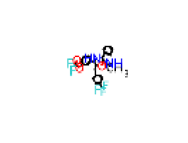 CNC(=O)C(NC(CCc1ccc(C(F)(F)F)cc1)c1ccc2c(c1)OC(F)(F)O2)c1ccccc1